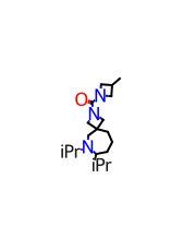 CC1CN(C(=O)N2CC3(CCCC(C(C)C)N(C(C)C)C3)C2)C1